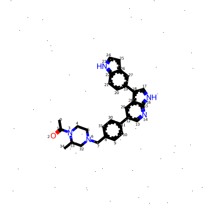 CC(=O)N1CCN(Cc2ccc(-c3cnc4[nH]cc(-c5ccc6[nH]ccc6c5)c4c3)cc2)CC1C